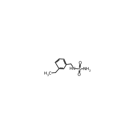 CCc1cccc(CNS(N)(=O)=O)c1